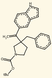 C=C(c1ccc2[nH]ccc2c1)C1(Cc2ccccc2)CCN(C(=O)OC(C)(C)C)C1